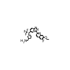 CCOc1cc2nc(-c3nnc4ccc([C@H](N5CCC(CN)C5)C(F)(F)F)cn34)ccc2cc1F